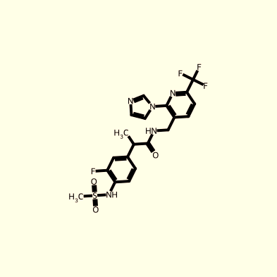 CC(C(=O)NCc1ccc(C(F)(F)F)nc1-n1ccnc1)c1ccc(NS(C)(=O)=O)c(F)c1